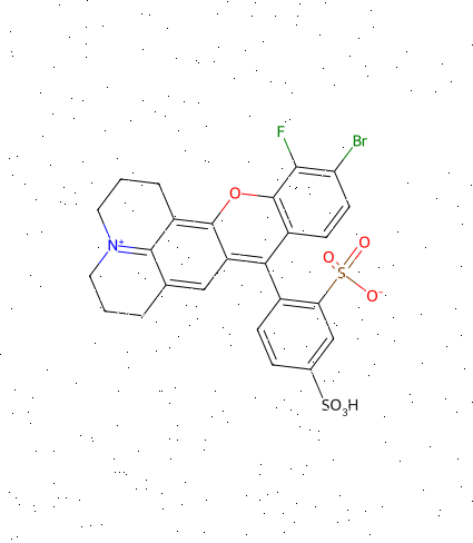 O=S(=O)([O-])c1cc(S(=O)(=O)O)ccc1C1=c2cc3c4c(c2Oc2c1ccc(Br)c2F)CCC[N+]=4CCC3